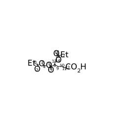 CCC(=O)OCOC(=O)C(CCCC(=O)O)COC(=O)CC